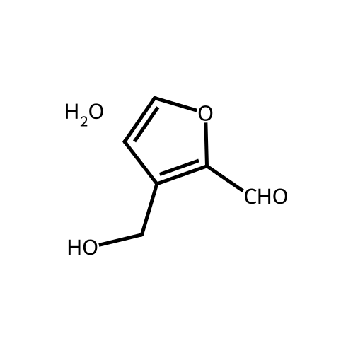 O.O=Cc1occc1CO